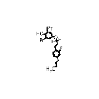 C=CCCc1ccc(CCC(F)(F)Oc2cc(C(C)C)c(O)c(C(C)C)c2)c(F)c1